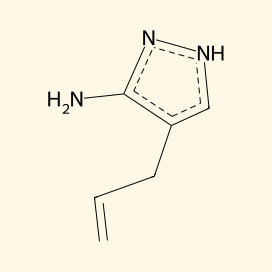 C=CCc1c[nH]nc1N